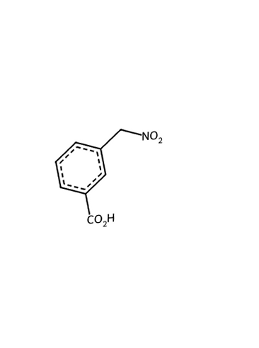 O=C(O)c1cccc(C[N+](=O)[O-])c1